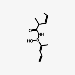 C=C/C=C(\C)B(O)NC(=O)C(C)/C=C\C